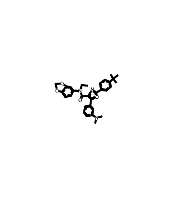 CCN(C(=O)c1nc(-c2ccc(C(C)(C)C)cc2)oc1-c1cccc(N(C)C)c1)c1ccc2c(c1)OCO2